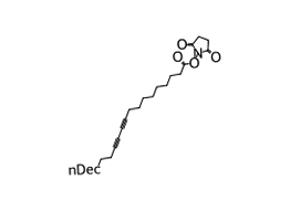 CCCCCCCCCCCCC#CC#CCCCCCCCCC(=O)ON1C(=O)CCC1=O